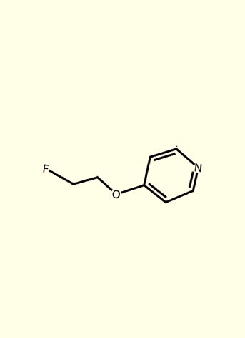 FCCOc1c[c]ncc1